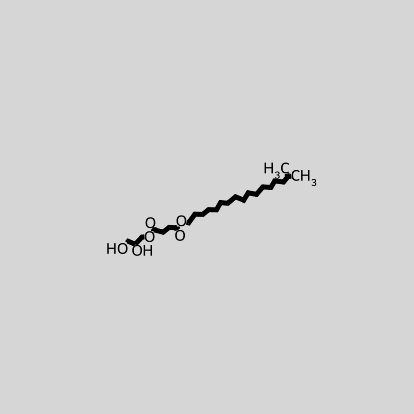 CC(C)CCCCCCCCCCCCCCCOC(=O)CCC(=O)OCC(O)CO